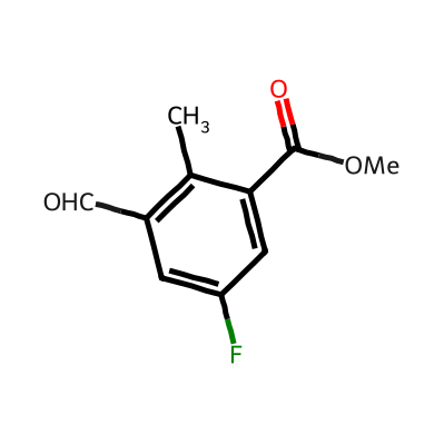 COC(=O)c1cc(F)cc(C=O)c1C